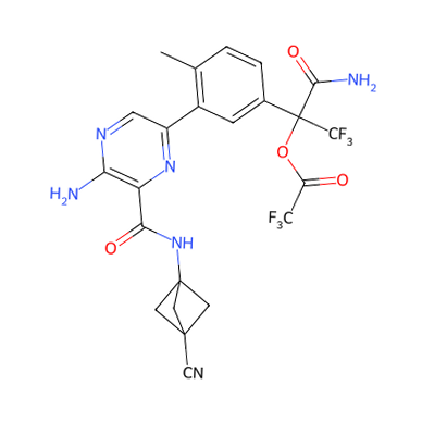 Cc1ccc(C(OC(=O)C(F)(F)F)(C(N)=O)C(F)(F)F)cc1-c1cnc(N)c(C(=O)NC23CC(C#N)(C2)C3)n1